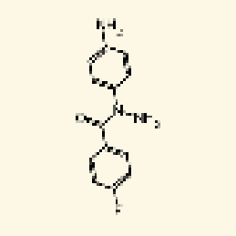 Nc1ccc(N(N)C(=O)c2ccc(F)cc2)cc1